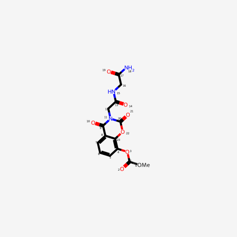 COC(=O)Oc1cccc2c(=O)n(CC(=O)NCC(N)=O)c(=O)oc12